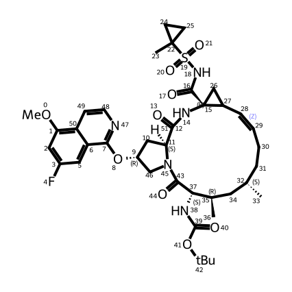 COc1cc(F)cc2c(O[C@@H]3C[C@H]4C(=O)N[C@]5(C(=O)NS(=O)(=O)C6(C)CC6)CC5/C=C\CC[C@H](C)C[C@@H](C)[C@H](NC(=O)OC(C)(C)C)C(=O)N4C3)nccc12